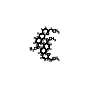 CCC(=O)/C=C\c1ccc2c(-c3c(OC)ccc4cc(/C=C\C(=O)CC)ccc34)c(OC)ccc2c1